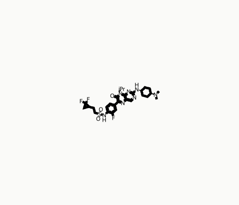 CC(C)n1c(=O)c(-c2ccc(NS(=O)(=O)CCC3CC3(F)F)c(F)c2)nc2cnc(N[C@H]3CC[C@H](N(C)C)CC3)nc21